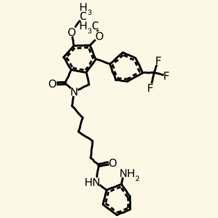 COc1cc2c(c(-c3ccc(C(F)(F)F)cc3)c1OC)CN(CCCCCC(=O)Nc1ccccc1N)C2=O